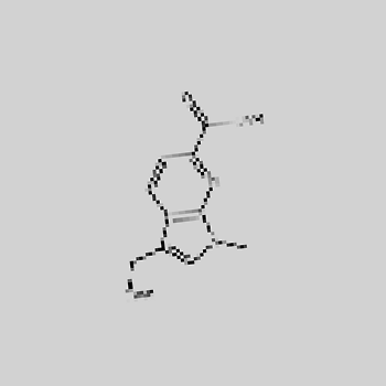 COCc1cn(C)c2nc(C(=O)OC)ccc12